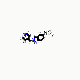 O=[N+]([O-])c1ccc2nn(Cc3ccncc3)cc2c1